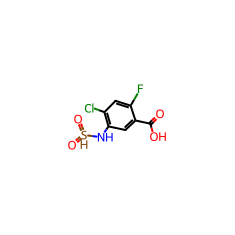 O=C(O)c1cc(N[SH](=O)=O)c(Cl)cc1F